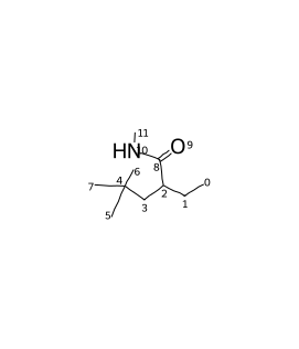 CCC(CC(C)(C)C)C(=O)NC